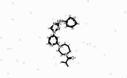 CC(C)C(=O)N1CCCN(c2cc(-n3cnc(Nc4ccccc4)n3)ccn2)CC1